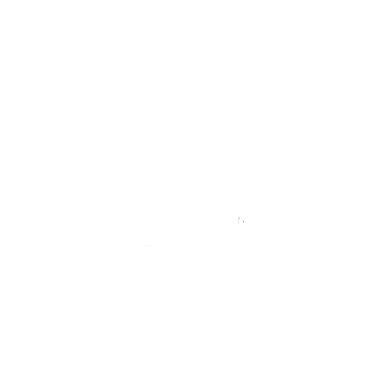 COc1c(B(O)O)ncc2ccccc12